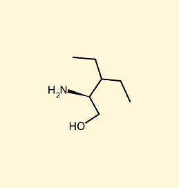 CCC(CC)[C@H](N)CO